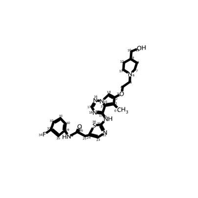 Cc1c(OCCN2CCC(CO)CC2)cn2ncnc(Nc3ncc(CC(=O)Nc4cccc(F)c4)s3)c12